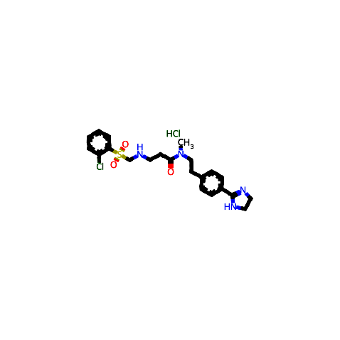 CN(CCc1ccc(C2=NCCN2)cc1)C(=O)CCNCS(=O)(=O)c1ccccc1Cl.Cl